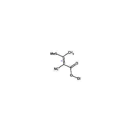 CCOC(=O)/C(C#N)=C(\C)SC